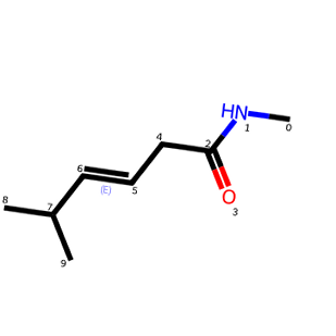 CNC(=O)C/C=C/C(C)C